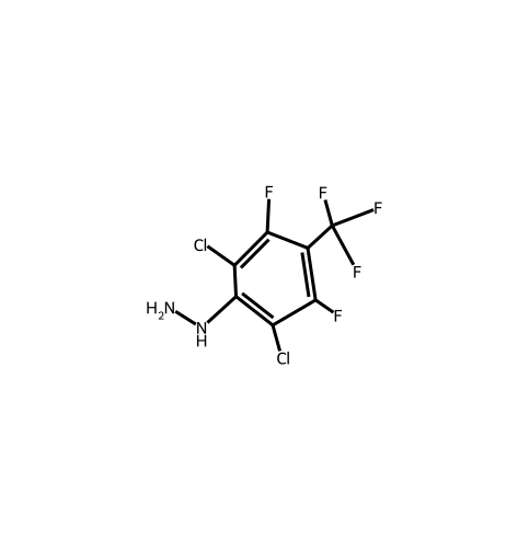 NNc1c(Cl)c(F)c(C(F)(F)F)c(F)c1Cl